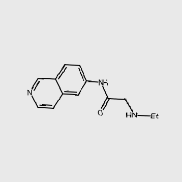 CCNCC(=O)Nc1ccc2cnccc2c1